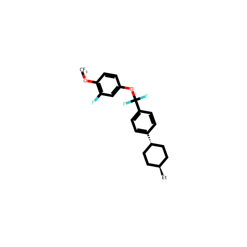 CC[C@H]1CC[C@H](c2ccc(C(F)(F)Oc3ccc(OC(F)(F)F)c(F)c3)cc2)CC1